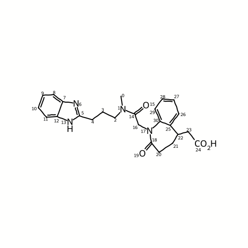 CN(CCCc1nc2ccccc2[nH]1)C(=O)CN1C(=O)CCC(CC(=O)O)c2ccccc21